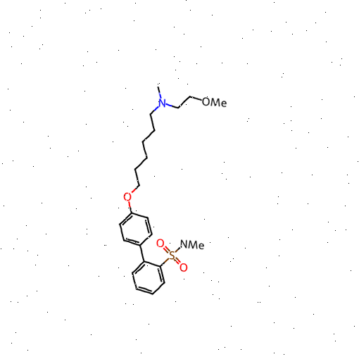 CNS(=O)(=O)c1ccccc1-c1ccc(OCCCCCCN(C)CCOC)cc1